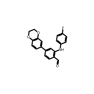 O=Cc1ccc(-c2ccc3c(c2)OCCO3)cc1Nc1ccc(F)cc1